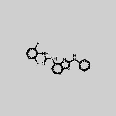 O=C(Nc1c(F)cccc1F)Nc1cccc2sc(Nc3ccccc3)nc12